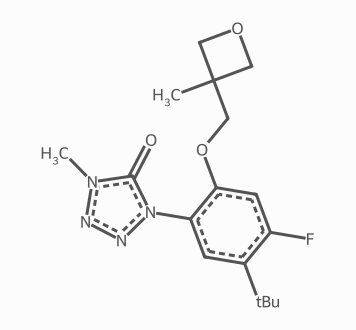 Cn1nnn(-c2cc(C(C)(C)C)c(F)cc2OCC2(C)COC2)c1=O